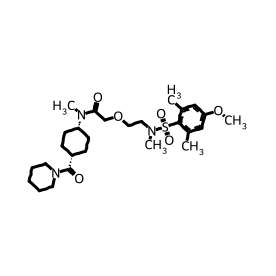 COc1cc(C)c(S(=O)(=O)N(C)CCOCC(=O)N(C)[C@H]2CC[C@@H](C(=O)N3CCCCC3)CC2)c(C)c1